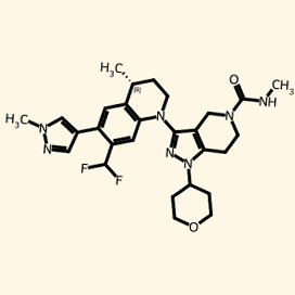 CNC(=O)N1CCc2c(c(N3CC[C@@H](C)c4cc(-c5cnn(C)c5)c(C(F)F)cc43)nn2C2CCOCC2)C1